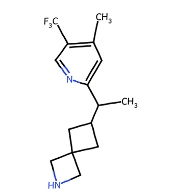 Cc1cc(C(C)C2CC3(CNC3)C2)ncc1C(F)(F)F